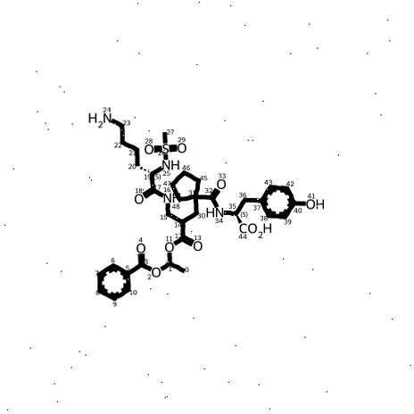 CC(OC(=O)c1ccccc1)OC(=O)C(CNC(=O)[C@H](CCCCN)NS(C)(=O)=O)CC1(C(=O)N[C@@H](Cc2ccc(O)cc2)C(=O)O)CCCC1